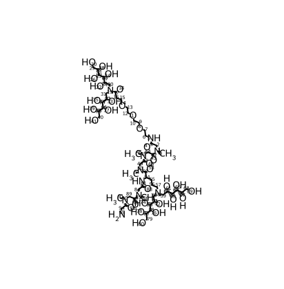 CN(CC(=O)NCCOCCOCCOCCC(=O)N(C[C@H](O)[C@@H](O)[C@H](O)[C@H](O)CO)C[C@H](O)[C@@H](O)[C@H](O)[C@H](O)CO)C(=O)CN(C)C(=O)CN(C)C(=O)C(CCCN(C[C@H](O)[C@@H](O)[C@H](O)[C@H](O)CO)C[C@H](O)[C@@H](O)[C@H](O)[C@H](O)CO)NC(=O)CN(C)C(=O)CN(C)C(=O)CN